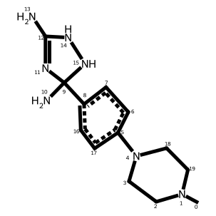 CN1CCN(c2ccc(C3(N)N=C(N)NN3)cc2)CC1